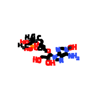 CCC(C)(CCO[C@H]([C@H](O)CO)n1cnc2c(N)[n+](O)cnc21)OP(=O)(O)C(C)(O)CC